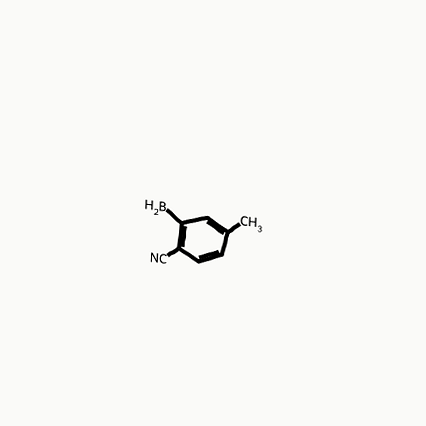 Bc1cc(C)ccc1C#N